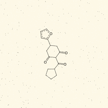 O=C1CC(c2ccco2)CC(=O)C1C(=O)C1CCCC1